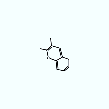 CC1=C(C)OC2=CC=CCC2=C1